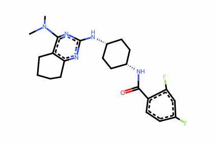 CN(C)c1nc(N[C@H]2CC[C@@H](NC(=O)c3ccc(F)cc3F)CC2)nc2c1CCCC2